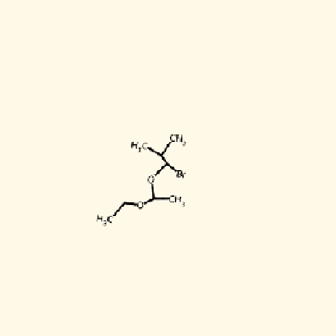 CCOC(C)OC(Br)C(C)C